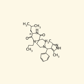 CCCN1C(=O)[C@@H](CC(C)C)NC(=O)C12CCN(C(c1ccccc1)c1c(C)n[nH]c1C)CC2